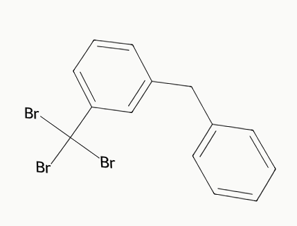 BrC(Br)(Br)c1cccc(Cc2ccccc2)c1